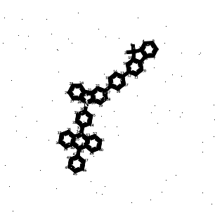 CC1(C)c2ccccc2-c2ccc(-c3ccc(-c4ccc5c(c4)c4ccccc4n5-c4ccc(-c5c6ccccc6c(-c6ccccc6)c6ccccc56)cc4)cc3)cc21